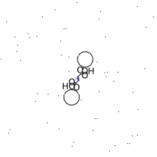 O=C(/C=C/C(=O)OC1(O)CCCCCCCCCCC1)OC1(O)CCCCCCCCCCC1